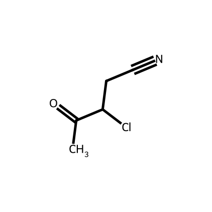 CC(=O)C(Cl)CC#N